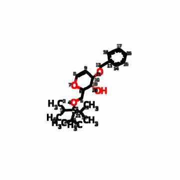 CC(C)[Si](OCC1OC=C[C@@H](OCc2ccccc2)[C@@H]1O)(C(C)C)C(C)C